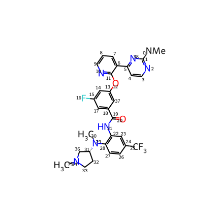 CNc1nccc(-c2cccnc2Oc2cc(F)cc(C(=O)Nc3cc(C(F)(F)F)ccc3N(C)[C@@H]3CCN(C)C3)c2)n1